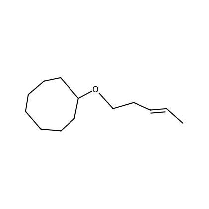 CC=CCCOC1CCCCCCC1